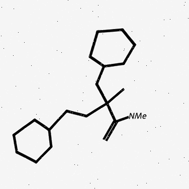 C=C(NC)C(C)(CCC1CCCCC1)CC1CCCCC1